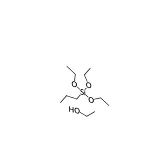 CCC[Si](OCC)(OCC)OCC.CCO